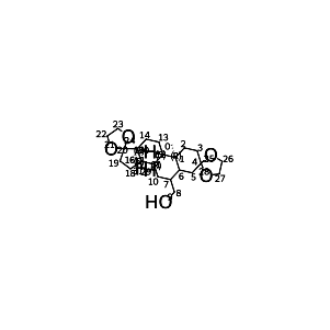 C[C@]12CCC3(CC1C(CO)C[C@@H]1[C@@H]2CC[C@@]2(C)[C@H]1CCC21OCCO1)OCCO3